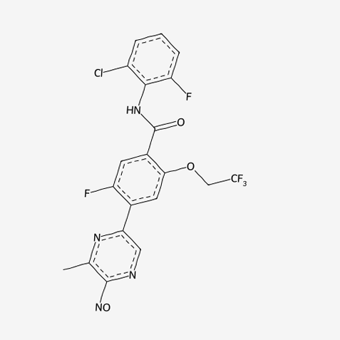 Cc1nc(-c2cc(OCC(F)(F)F)c(C(=O)Nc3c(F)cccc3Cl)cc2F)cnc1N=O